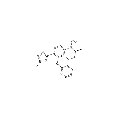 C[C@H]1CCc2c(ccc(-c3cn(C)nn3)c2Oc2ccccc2)N1C(=O)O